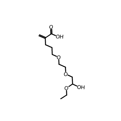 C=C(CCCOCCOCC(O)OCC)C(=O)O